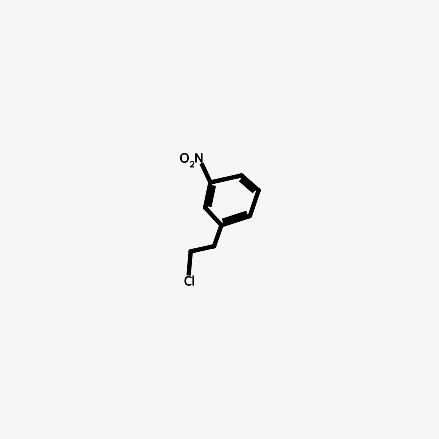 O=[N+]([O-])c1cccc(CCCl)c1